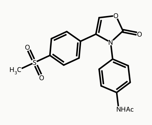 CC(=O)Nc1ccc(-n2c(-c3ccc(S(C)(=O)=O)cc3)coc2=O)cc1